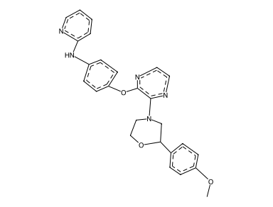 COc1ccc(C2CN(c3nccnc3Oc3ccc(Nc4ccccn4)cc3)CCO2)cc1